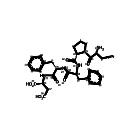 CC(C)C[C@H](N)C(=O)N1CCC[C@H]1C(=O)N[C@@H](Cc1ccccc1)C(=O)N[C@@H](Cc1ccccc1)C(=O)N[C@@H](CC(=O)O)C(=O)O